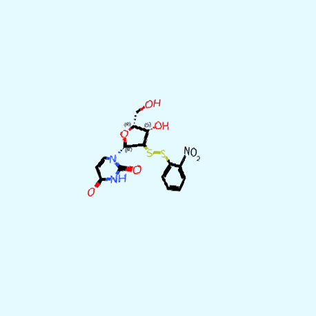 O=c1ccn([C@@H]2O[C@H](CO)[C@H](O)C2SSc2ccccc2[N+](=O)[O-])c(=O)[nH]1